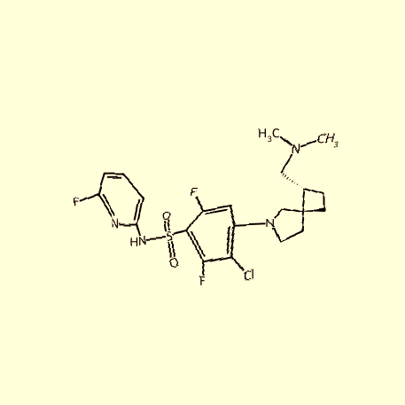 CN(C)C[C@@H]1CC[C@]12CCN(c1cc(F)c(S(=O)(=O)Nc3cccc(F)n3)c(F)c1Cl)C2